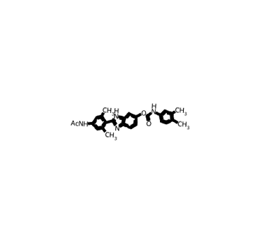 CC(=O)Nc1cc(C)c(-c2nc3ccc(OC(=O)Nc4ccc(C)c(C)c4)cc3[nH]2)c(C)c1